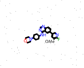 COc1cc(-c2ccc3ncnc(NC4CCC(N5CCOCC5)CC4)c3c2)cnc1F